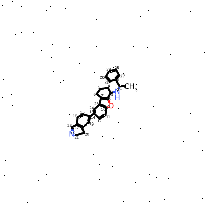 CC(NC1CCCc2c1oc1ccc(-c3ccc4c(c3)CCN=C4)cc21)c1ccccc1